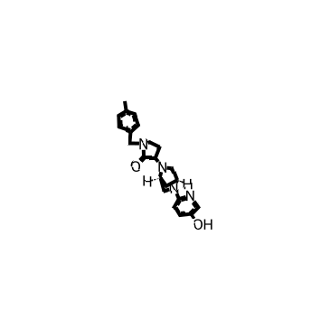 Cc1ccc(CN2CCC(N3C[C@@H]4C[C@H]3CN4c3ccc(O)cn3)C2=O)cc1